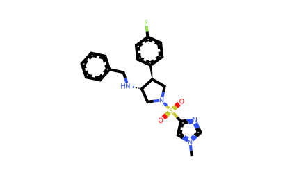 Cn1cnc(S(=O)(=O)N2C[C@H](NCc3ccccc3)[C@@H](c3ccc(F)cc3)C2)c1